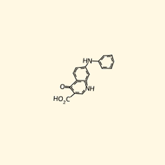 O=C(O)c1c[nH]c2cc(Nc3ccccc3)ccc2c1=O